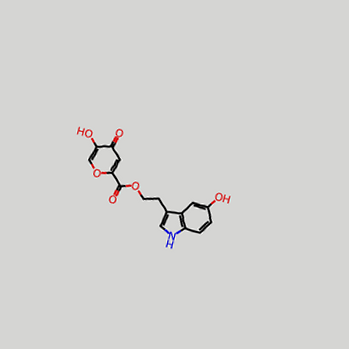 O=C(OCCc1c[nH]c2ccc(O)cc12)c1cc(=O)c(O)co1